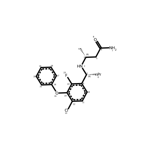 CCC[C@@H](N[C@H](C)CC(N)=O)c1ccc(Cl)c(Oc2ccccc2)c1F